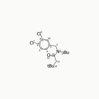 CCC(C)N(Cc1ccc(Cl)c(Cl)c1)C(=O)CC(C)(C)C